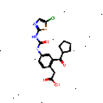 O=C(O)Cc1ccc(NC(=O)Nc2ncc(Cl)s2)cc1C(=O)C1CCCC1